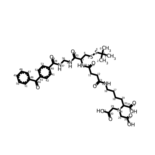 CC(C)(C)SSCC(NC(=O)CCC(=O)NCCCCC(C(=O)O)N(CC(=O)O)CC(=O)O)C(=O)NCNC(=O)c1ccc(C(=O)c2ccccc2)cc1